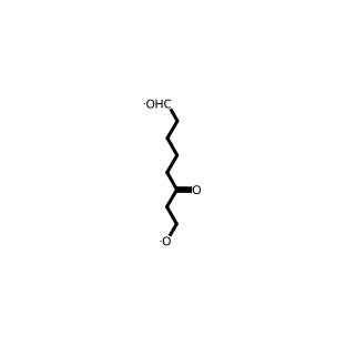 [O]CCC(=O)CCCC[C]=O